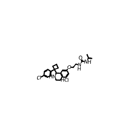 CC(C)NC(=O)NCCOc1ccc2c(c1)C(C1(c3ccc(Cl)cc3)CCC1)NCC2.Cl